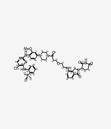 COc1cc(N2CCN(C(=O)CCOCCNc3cccc4c3CN(C3CCC(=O)NC3=O)C4=O)CC2)ccc1Nc1ncc(Cl)c(Nc2ccccc2P(C)(C)=O)n1